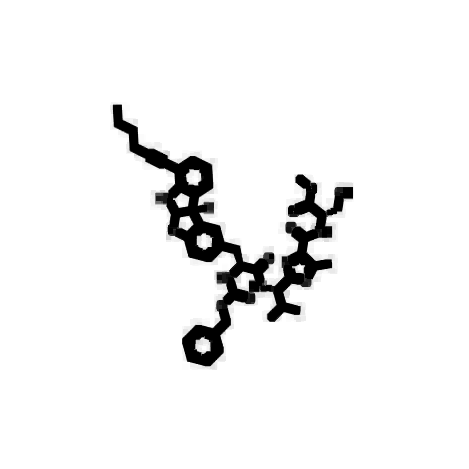 CCCCC#Cc1cccc2c1NC1Oc3ccc(C[C@H](NC(=O)OCc4ccccc4)C(=O)N[C@H](c4nc(C(=O)N[C@@H](CO)C(=O)OC)c(C)o4)C(C)C)cc3[C@@H]21